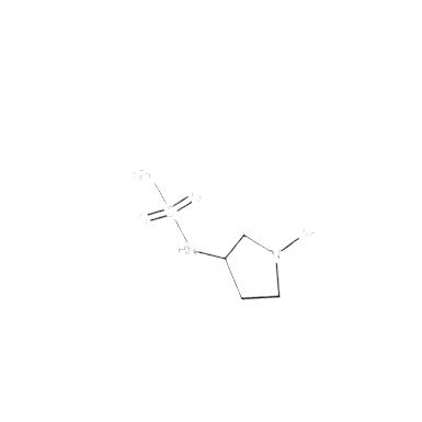 CCCS(=O)(=O)NC1CCN(C(C)=O)C1